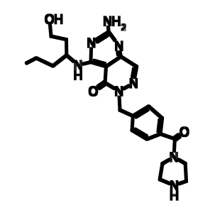 CCCC(CCO)Nc1nc(N)nc2cnn(Cc3ccc(C(=O)N4CCNCC4)cc3)c(=O)c12